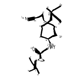 CC(C)(C)OC(=O)N[C@H]1CC[C@](CC#N)(C(C)(C)C)CC1